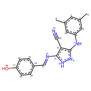 Cc1cc(C)cc(Nc2n[nH]c(/N=C/c3ccc(O)cc3)c2C#N)c1